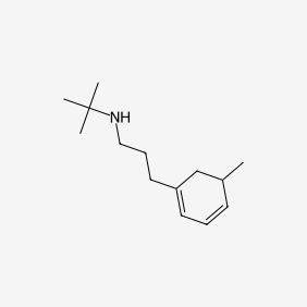 CC1C=CC=C(CCCNC(C)(C)C)C1